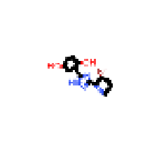 Oc1ccc(O)c(-c2nc(-c3ncccc3Br)n[nH]2)c1